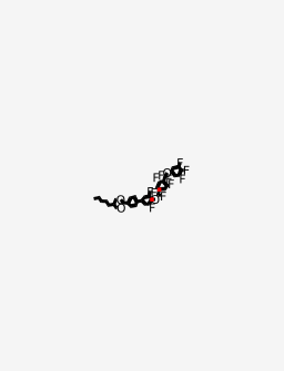 CCCCCC1COC(c2ccc(-c3cc(F)c(OC(F)(F)c4cc(F)c(C(F)(F)Oc5cc(F)c(F)c(F)c5)c(F)c4)c(F)c3)cc2)OC1